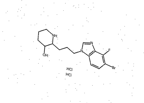 Cl.Cl.OC1CCCNC1CCCn1cnc2c(F)c(Br)ccc21